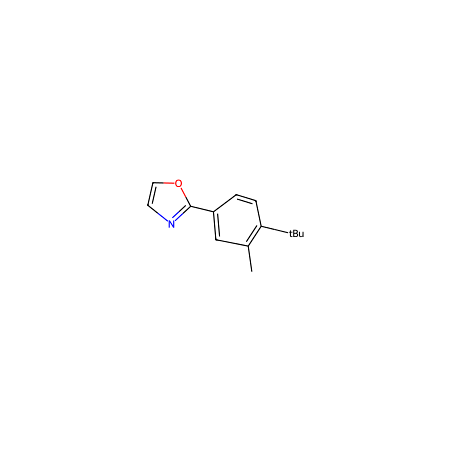 Cc1cc(-c2ncco2)ccc1C(C)(C)C